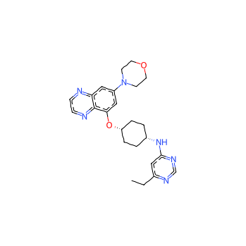 CCc1cc(N[C@H]2CC[C@@H](Oc3cc(N4CCOCC4)cc4nccnc34)CC2)ncn1